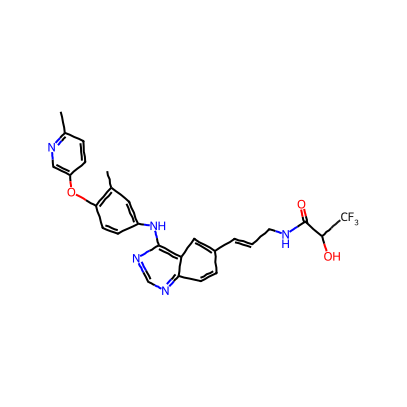 Cc1ccc(Oc2ccc(Nc3ncnc4ccc(C=CCNC(=O)C(O)C(F)(F)F)cc34)cc2C)cn1